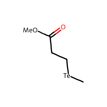 COC(=O)CC[Te]C